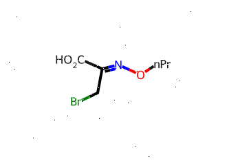 CCCON=C(CBr)C(=O)O